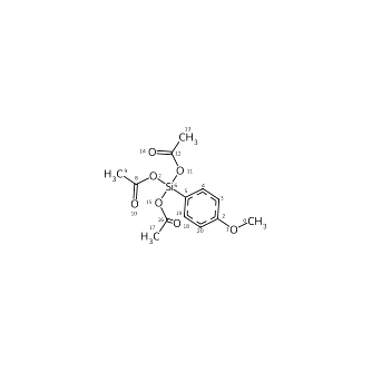 COc1ccc([Si](OC(C)=O)(OC(C)=O)OC(C)=O)cc1